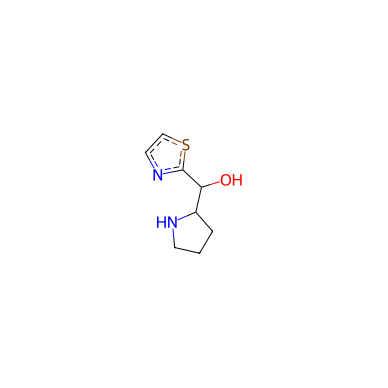 OC(c1nccs1)C1CCCN1